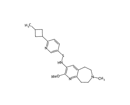 COc1nc2c(cc1NSc1ccc(C3CC(C)C3)nc1)CCN(C)CC2